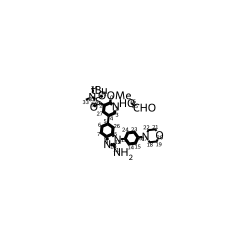 COc1ncc(-c2ccc3nc(N)n(-c4ccc(N5CCOCC5)cc4)c3c2)cc1S(=O)(=O)N(C)C(C)(C)C.O=CO